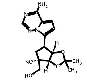 CC1(C)O[C@H]2[C@H](c3ccc4c(N)ncnn34)C[C@](C#N)(CO)[C@H]2O1